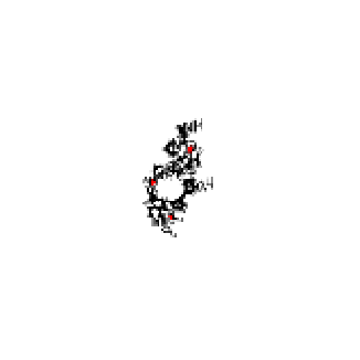 CCn1c(-c2cccnc2[C@H](C)OC)c2c3cc(ccc31)-c1cc(O)cc(c1)C[C@H](NC(=O)[C@H](C(C)C)N(C)C(=O)[C@H]1CCCN1C(=O)[C@@H]1CN1)C(=O)N1CCC[C@H](N1)C(=O)OCC(C)(C)C2